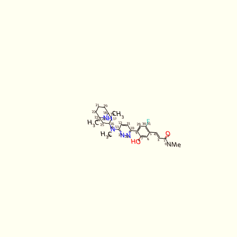 CNC(=O)/C=C/c1cc(O)c(-c2ccc(N(C)C3C[C@]4(C)CCC[C@](C)(C3)N4)nn2)cc1F